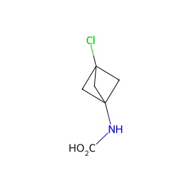 O=C(O)NC12CC(Cl)(C1)C2